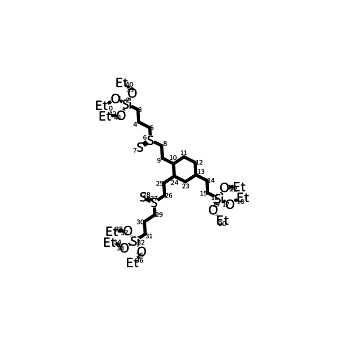 CCO[Si](CCCS(=S)CCC1CCC(CC[Si](OCC)(OCC)OCC)CC1CCS(=S)CCC[Si](OCC)(OCC)OCC)(OCC)OCC